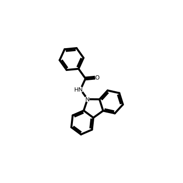 O=C(Nn1c2ccccc2c2ccccc21)c1ccccc1